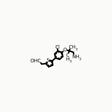 CC(C)(CN)Oc1ccc(-c2ccc(CC=O)s2)cc1Cl